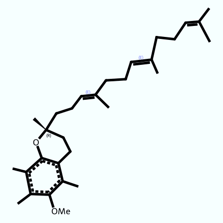 COc1c(C)c(C)c2c(c1C)CC[C@@](C)(CC/C=C(\C)CC/C=C(\C)CCC=C(C)C)O2